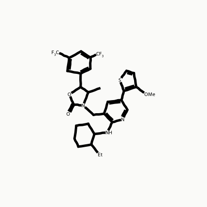 CCC1CCCCC1Nc1ncc(-c2sccc2OC)cc1CN1C(=O)OC(c2cc(C(F)(F)F)cc(C(F)(F)F)c2)C1C